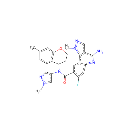 Cn1cc(N(C(=O)c2cc3c(cc2F)nc(N)c2cnn(C)c23)C2CCOc3cc(C(F)(F)F)ccc32)cn1